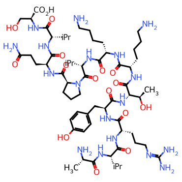 CC(C)[C@H](NC(=O)[C@H](C)N)C(=O)N[C@@H](CCCN=C(N)N)C(=O)N[C@@H](Cc1ccc(O)cc1)C(=O)N[C@H](C(=O)N[C@@H](CCCCN)C(=O)N[C@@H](CCCCN)C(=O)N[C@H](C(=O)N1CCC[C@H]1C(=O)N[C@@H](CCC(N)=O)C(=O)N[C@H](C(=O)N[C@@H](CO)C(=O)O)C(C)C)C(C)C)[C@@H](C)O